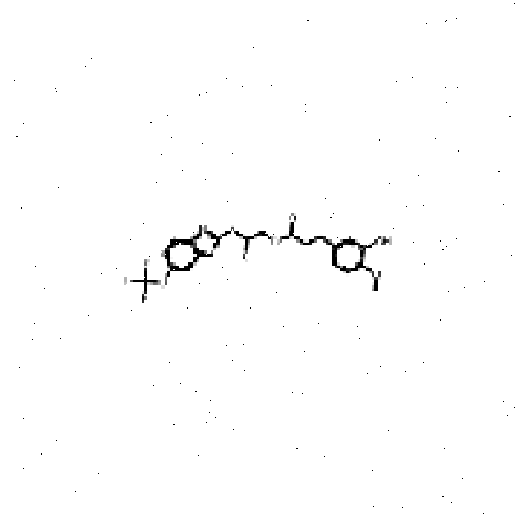 COc1ccc(CCC(=O)OCC(=O)Nc2nc3ccc(OC(F)(F)F)cc3s2)cc1O